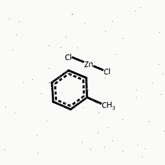 Cc1cc[c]cc1.[Cl][Zn][Cl]